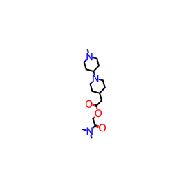 CN1CCC(N2CCC(CC(=O)OCC(=O)N(C)C)CC2)CC1